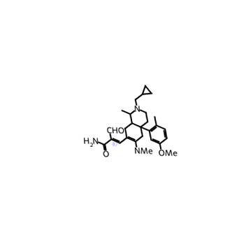 CNC1=C(/C=C(\C=O)C(N)=O)CC2C(C)N(CC3CC3)CCC2(c2cc(OC)ccc2C)C1